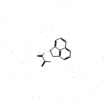 C=C(C)C(N)=O.c1cc2c3c(cccc3c1)CC2